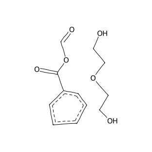 O=COC(=O)c1ccccc1.OCCOCCO